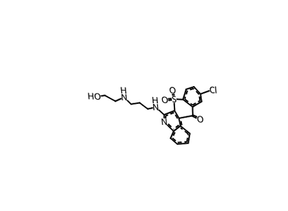 O=C1c2cc(Cl)ccc2S(=O)(=O)c2c(NCCCNCCO)nc3ccccc3c21